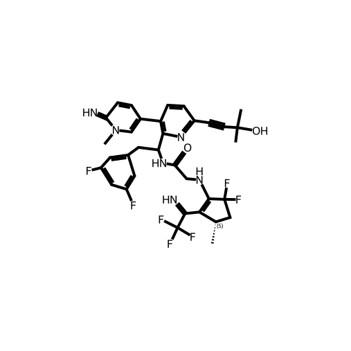 C[C@H]1CC(F)(F)C(NCC(=O)NC(Cc2cc(F)cc(F)c2)c2nc(C#CC(C)(C)O)ccc2-c2ccc(=N)n(C)c2)=C1C(=N)C(F)(F)F